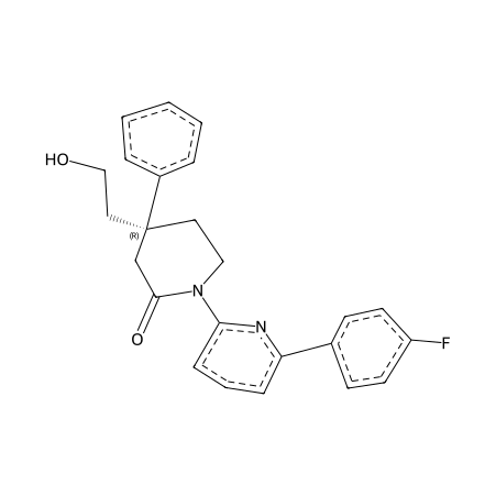 O=C1C[C@@](CCO)(c2ccccc2)CCN1c1cccc(-c2ccc(F)cc2)n1